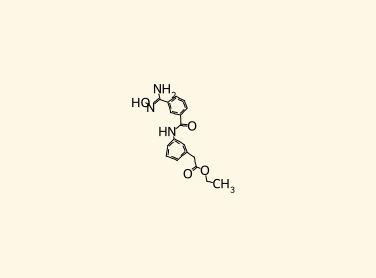 CCOC(=O)Cc1cccc(NC(=O)c2cccc(C(N)=NO)c2)c1